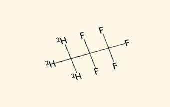 [2H]C([2H])([2H])C(F)(F)C(F)(F)F